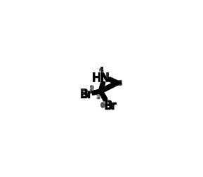 BrC1(Br)CN1